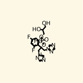 O=P(O)(OCC(O)CO)OC(Cn1cncn1)(Cn1cncn1)c1ccc(F)cc1F